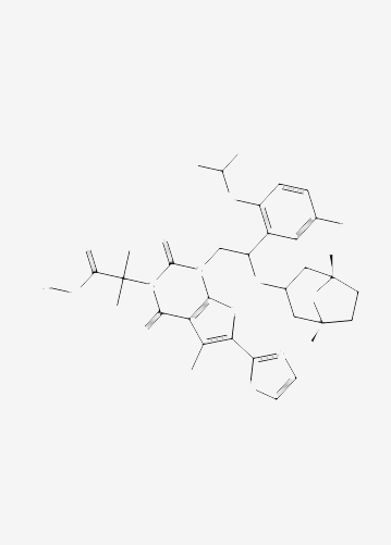 Cc1c(-c2ncco2)sc2c1c(=O)n(C(C)(C)C(=O)OC(C)(C)C)c(=O)n2CC(OC1C[C@H]2CC[C@@H](C1)O2)c1cc(F)ccc1OC(F)F